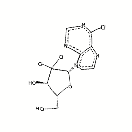 OC[C@H]1O[C@@H](n2cnc3c(Cl)ncnc32)C(Cl)(Cl)[C@@H]1O